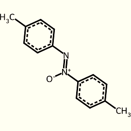 Cc1ccc(N=[N+]([O-])c2ccc(C)cc2)cc1